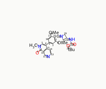 COc1cc(-c2cn(C)c(=O)c3cnccc23)cc(OC)c1CN1CC(NC(=O)OC(C)(C)C)C1